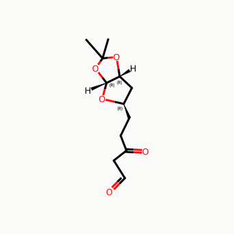 CC1(C)O[C@H]2O[C@H](CCC(=O)CC=O)C[C@H]2O1